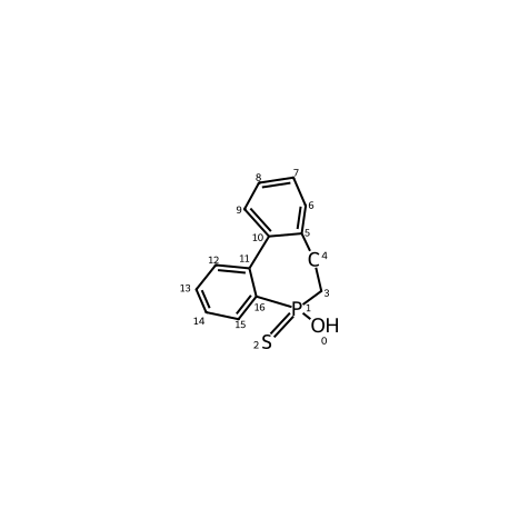 OP1(=S)CCc2ccccc2-c2ccccc21